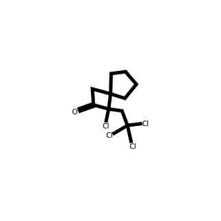 O=C1CC2(CCCC2)C1(Cl)CC(Cl)(Cl)Cl